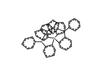 c1ccc(N(c2ccccc2)c2ccccc2[Si]2(c3ccccc3N(c3ccccc3)c3ccccc3)c3ccccc3-c3ccccc32)cc1